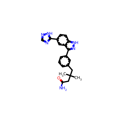 CC(C)(CC(N)=O)Cc1cccc(-c2n[nH]c3ccc(-c4ncn[nH]4)cc23)c1